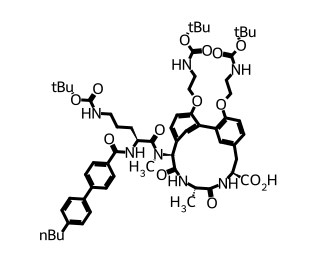 CCCCc1ccc(-c2ccc(C(=O)N[C@@H](CCCNC(=O)OC(C)(C)C)C(=O)N(C)[C@@H]3C(=O)N[C@@H](C)C(=O)N[C@H](C(=O)O)Cc4ccc(OCCNC(=O)OC(C)(C)C)c(c4)-c4cc3ccc4OCCNC(=O)OC(C)(C)C)cc2)cc1